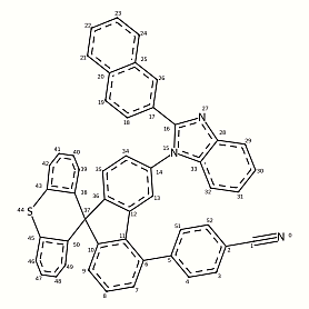 N#Cc1ccc(-c2cccc3c2-c2cc(-n4c(-c5ccc6ccccc6c5)nc5ccccc54)ccc2C32c3ccccc3Sc3ccccc32)cc1